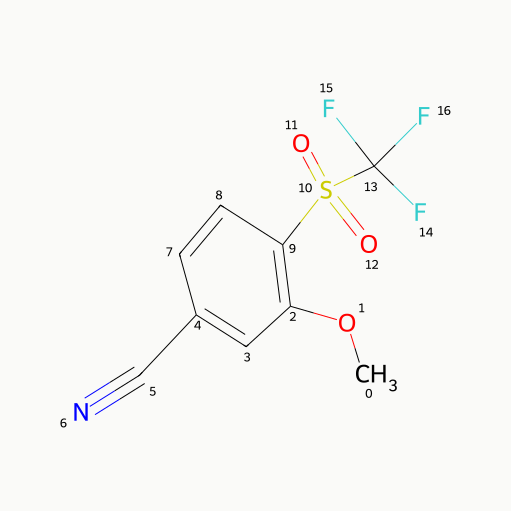 COc1cc(C#N)ccc1S(=O)(=O)C(F)(F)F